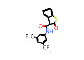 O=C(Nc1cc(C(F)(F)F)cc(C(F)(F)F)c1)C1C(=O)Sc2ccccc21